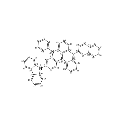 c1ccc(N2c3cc(-n4c5ccccc5c5ccccc54)ccc3B3c4ccccc4N(c4ccc5ccccc5c4)c4cccc2c43)cc1